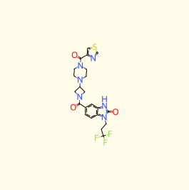 O=C(c1ccc2c(c1)[nH]c(=O)n2CCC(F)(F)F)N1CC(N2CCN(C(=O)c3cscn3)CC2)C1